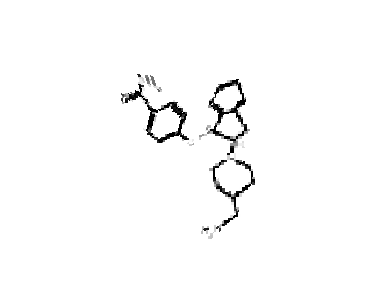 NCC1CCN([C@@H]2Cc3ccccc3[C@H]2Oc2ccc(C(N)=O)cc2)CC1